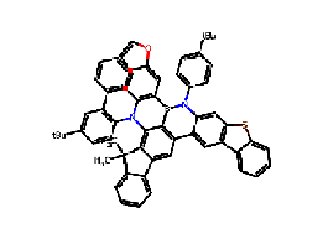 CC(C)(C)c1ccc(N2B3c4cc5occc5cc4N(c4ccc(C(C)(C)C)cc4-c4ccccc4)c4c3c(cc3c4C(C)(C)c4ccccc4-3)-c3cc4c(cc32)sc2ccccc24)cc1